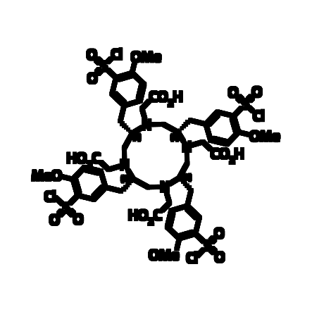 COc1ccc(C[C@H]2CN(CC(=O)O)[C@@H](Cc3ccc(OC)c(S(=O)(=O)Cl)c3)CN(CC(=O)O)[C@@H](Cc3ccc(OC)c(S(=O)(=O)Cl)c3)CN(CC(=O)O)[C@@H](Cc3ccc(OC)c(S(=O)(=O)Cl)c3)CN2CC(=O)O)cc1S(=O)(=O)Cl